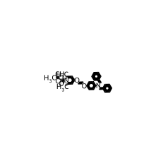 C[C@@H]1CC(OCCO[C@H]2CC[C@H](N(Cc3ccccc3)Cc3ccccc3)CC2)C[C@H](C)N1C(=O)OC(C)(C)C